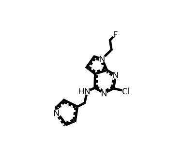 FCCn1ccc2c(NCc3ccncc3)nc(Cl)nc21